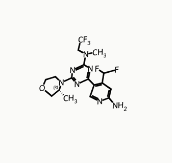 C[C@@H]1COCCN1c1nc(-c2cnc(N)cc2C(F)F)nc(N(C)CC(F)(F)F)n1